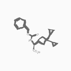 O=C(N[C@H](C(=O)O)C1CC(C2CC2)(C2CC2)C1)OCc1ccccc1